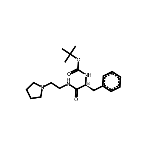 CC(C)(C)OC(=O)N[C@@H](Cc1ccccc1)C(=O)NCCN1CCCC1